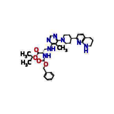 Cc1c(NC[C@H](NC(=O)OCc2ccccc2)C(=O)OC(C)C)ncnc1N1CCC(c2ccc3c(n2)NCCC3)CC1